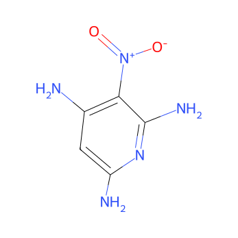 Nc1cc(N)c([N+](=O)[O-])c(N)n1